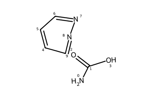 NC(=O)O.c1ccnnc1